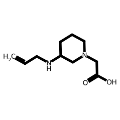 C=CCNC1CCCN(CC(=O)O)C1